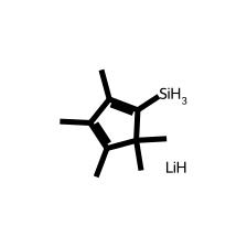 CC1=C(C)C(C)(C)C([SiH3])=C1C.[LiH]